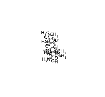 CN(C)C(=O)c1cc(Br)c2c(c1O)C(=O)C1=C(O)[C@]3(O)C(=O)C(C(N)=O)=C(O)[C@@H](N(C)C)[C@@H]3C[C@@H]1C2